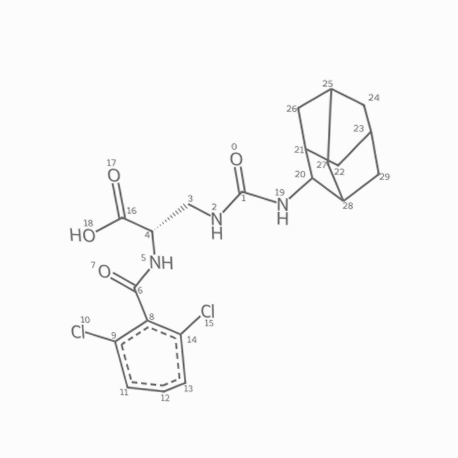 O=C(NC[C@H](NC(=O)c1c(Cl)cccc1Cl)C(=O)O)NC1C2CC3CC(C2)CC1C3